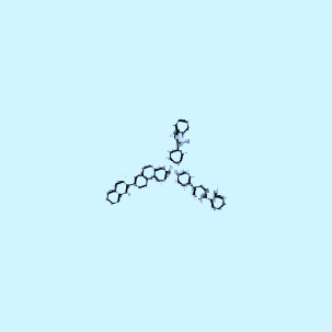 c1ccc2cc(-c3ccc4c(ccc5cc(N(c6ccc(-c7cnc8c(c7)oc7ccccc78)cc6)c6ccc(-c7nc8ccccc8o7)cc6)ccc54)c3)ccc2c1